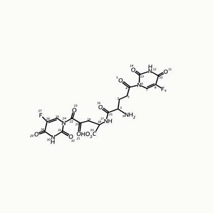 NC(CCC(=O)n1cc(F)c(=O)[nH]c1=O)C(=O)NC(CC(=O)C(=O)n1cc(F)c(=O)[nH]c1=O)C(=O)O